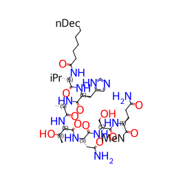 CCCCCCCCCCCCCCCC(=O)N[C@H](C(=O)N[C@@H](Cc1cnc[nH]1)C(=O)N[C@@H](C)C(=O)N[C@H](C(=O)N[C@@H](CC(N)=O)C(=O)N[C@@H](CO)C(=O)N[C@@H](CCC(N)=O)C(=O)NC)[C@@H](C)O)C(C)C